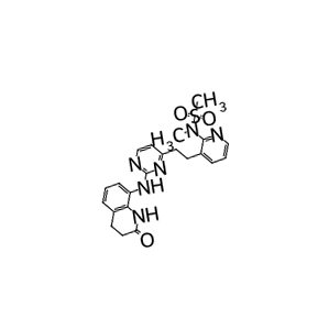 CN(c1ncccc1CCc1ccnc(Nc2cccc3c2NC(=O)CC3)n1)S(C)(=O)=O